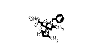 C=CCC1(C(=O)OCc2ccccc2)C(=CC(=O)OC)O[C@@H]2CC(=C)N21